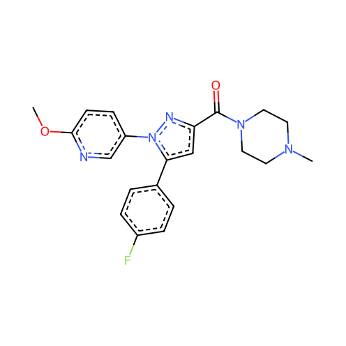 COc1ccc(-n2nc(C(=O)N3CCN(C)CC3)cc2-c2ccc(F)cc2)cn1